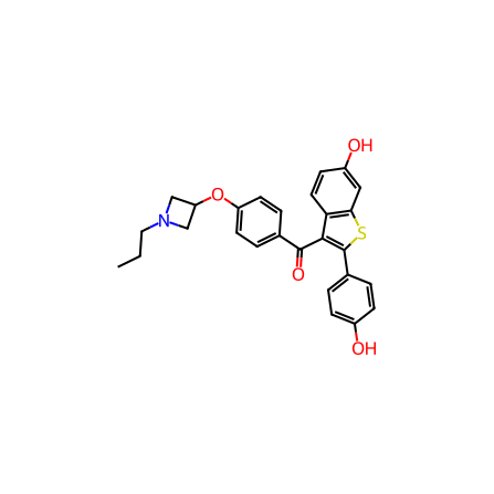 CCCN1CC(Oc2ccc(C(=O)c3c(-c4ccc(O)cc4)sc4cc(O)ccc34)cc2)C1